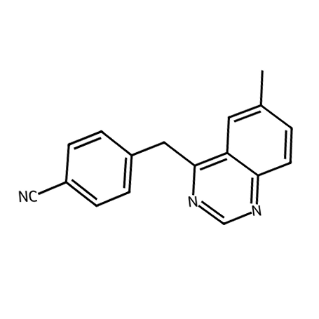 Cc1ccc2ncnc(Cc3ccc(C#N)cc3)c2c1